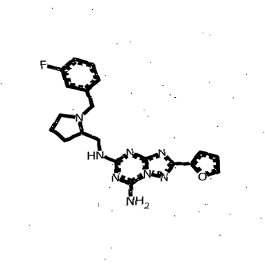 Nc1nc(NCC2CCCN2Cc2cccc(F)c2)nc2nc(-c3ccco3)nn12